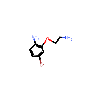 NCCOc1cc(Br)ccc1N